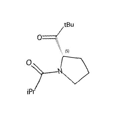 CC(C)C(=O)N1CCC[C@H]1C(=O)C(C)(C)C